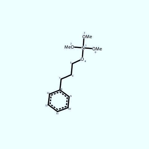 CO[Si](OC)(OC)OCCCc1ccccc1